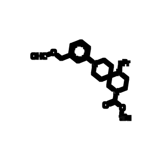 CCCN1CCN(C(=O)OC(C)(C)C)CC12CCN(c1cccc(COC=O)c1)CC2